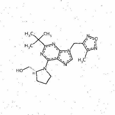 Cc1nonc1Cn1cnc2c(N3CCC[C@@H]3CO)nc(C(C)(C)C)nc21